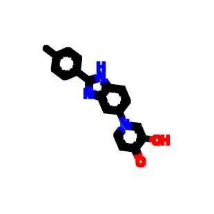 Cc1ccc(-c2nc3cc(-n4ccc(=O)c(O)c4)ccc3[nH]2)cc1